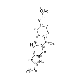 CC(=O)OCCC1CCN(C(=O)[C@@H](N)Cc2nc(CCl)cs2)CC1